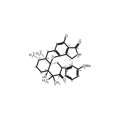 CN[C@@H]1C[C@@]23Oc4c(cc(Cl)c5c4[C@@H](c4ccccc4OC)NC5=O)C[C@]2(C)[C@@H](C)CC[C@H]3C(C)(C)C1=O